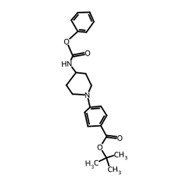 CC(C)(C)OC(=O)c1ccc(N2CCC(NC(=O)Oc3ccccc3)CC2)cc1